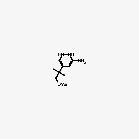 COCC(C)(C)C1=CNNC(N)=C1